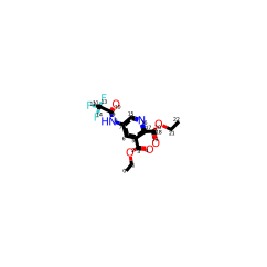 CCOC(=O)c1cc(NC(=O)C(F)(F)F)cnc1C(=O)OCC